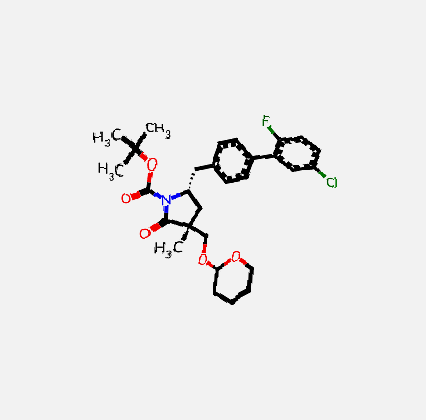 CC(C)(C)OC(=O)N1C(=O)[C@@](C)(CO[C@@H]2CCCCO2)C[C@H]1Cc1ccc(-c2cc(Cl)ccc2F)cc1